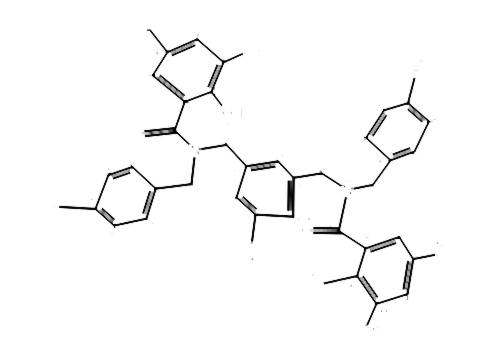 O=C(c1cc(Cl)cc(Cl)c1O)N(Cc1ccc(F)cc1)Cc1cc(Cl)cc(CN(Cc2ccc(F)cc2)C(=O)c2cc(Cl)cc(Cl)c2O)c1